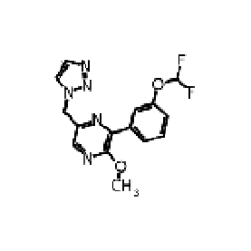 COc1ncc(Cn2c[c]nn2)nc1-c1cccc(OC(F)F)c1